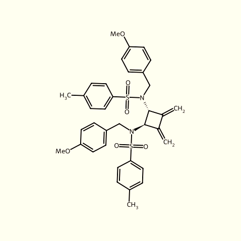 C=C1C(=C)[C@@H](N(Cc2ccc(OC)cc2)S(=O)(=O)c2ccc(C)cc2)[C@@H]1N(Cc1ccc(OC)cc1)S(=O)(=O)c1ccc(C)cc1